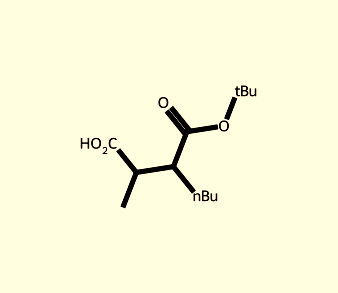 CCCCC(C(=O)OC(C)(C)C)C(C)C(=O)O